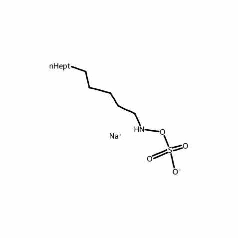 CCCCCCCCCCCCNOS(=O)(=O)[O-].[Na+]